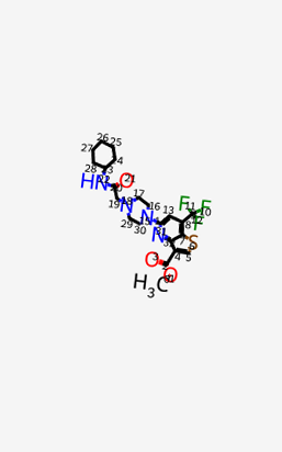 COC(=O)c1csc2c(C(F)(F)F)cc(N3CCN(CC(=O)NC4CCCCC4)CC3)nc12